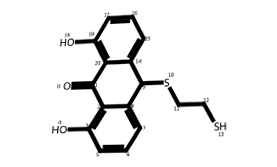 O=C1c2c(O)cccc2C(SCCS)c2cccc(O)c21